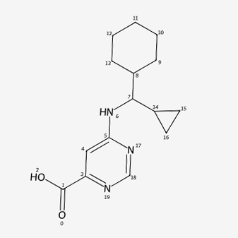 O=C(O)c1cc(NC(C2CCCCC2)C2CC2)ncn1